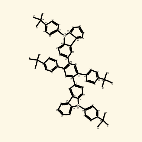 CC(C)(C)c1ccc(-c2cc(-c3ccc4c(c3)c3ccccc3n4-c3ccc(C(C)(C)C)cc3)c(-c3ccc(C(C)(C)C)cc3)cc2-c2ccc3c(c2)c2ccccc2n3-c2ccc(C(C)(C)C)cc2)cc1